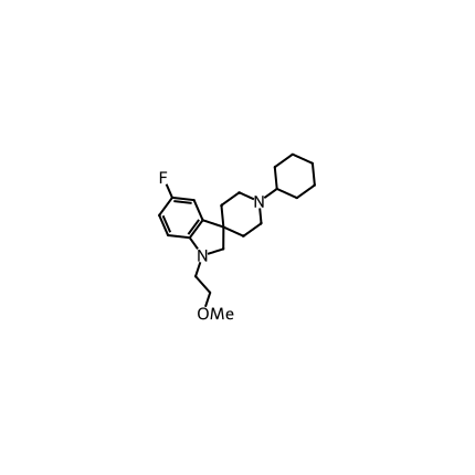 COCCN1CC2(CCN(C3CCCCC3)CC2)c2cc(F)ccc21